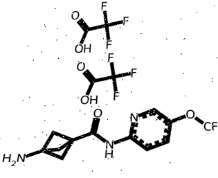 NC12CC(C(=O)Nc3ccc(OC(F)(F)F)cn3)(C1)C2.O=C(O)C(F)(F)F.O=C(O)C(F)(F)F